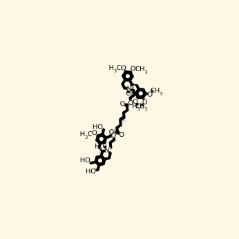 COc1cc2c(cc1OC)[C@@H](Cc1cc(OC)c(OC)c(OC)c1)[N+](C)(CCCOC(=O)CC/C=C/CCC(=O)OCCC[N+]1(C)CCc3cc(CO)c(CO)cc3[C@H]1Cc1cc(CO)c(CO)c(OC)c1)CC2